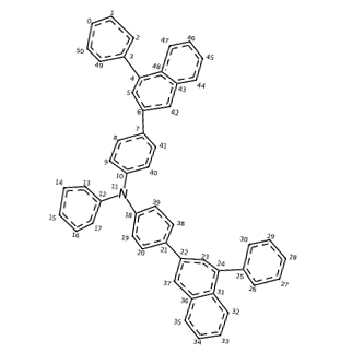 c1ccc(-c2cc(-c3ccc(N(c4ccccc4)c4ccc(-c5cc(-c6ccccc6)c6ccccc6c5)cc4)cc3)cc3ccccc23)cc1